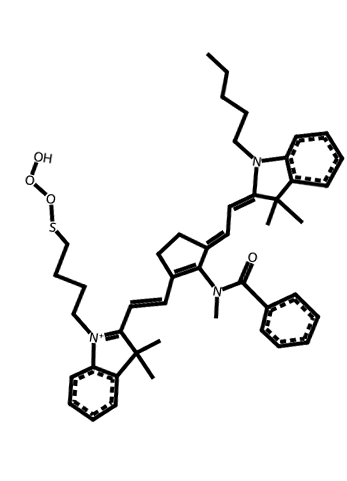 CCCCCN1/C(=C/C=C2\CCC(/C=C/C3=[N+](CCCCSOOO)c4ccccc4C3(C)C)=C2N(C)C(=O)c2ccccc2)C(C)(C)c2ccccc21